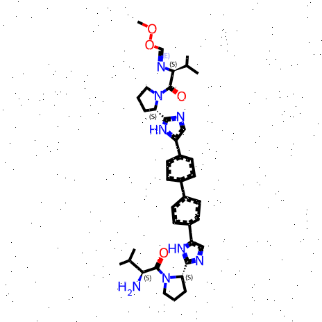 COO/C=N/[C@H](C(=O)N1CCC[C@H]1c1ncc(-c2ccc(-c3ccc(-c4cnc([C@@H]5CCCN5C(=O)[C@@H](N)C(C)C)[nH]4)cc3)cc2)[nH]1)C(C)C